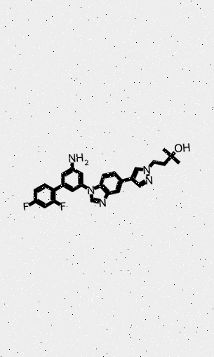 CC(C)(O)CCn1cc(-c2ccc3c(c2)ncn3-c2cc(N)cc(-c3ccc(F)cc3F)c2)cn1